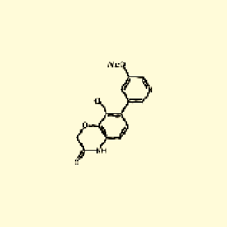 COc1cncc(-c2ccc3c(c2Cl)OCC(=O)N3)c1